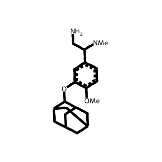 CNC(CN)c1ccc(OC)c(OC2C3CC4CC(C3)CC2C4)c1